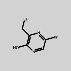 CCc1nc(Br)cnc1O